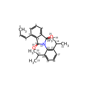 C/C=C\c1cccc2c1C(=O)N(c1c(C(C)C)cccc1C(C)C)C2=O